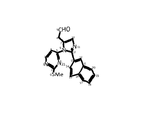 CSc1nccc(-n2c(CC=O)cnc2-c2ccc3ccccc3c2)n1